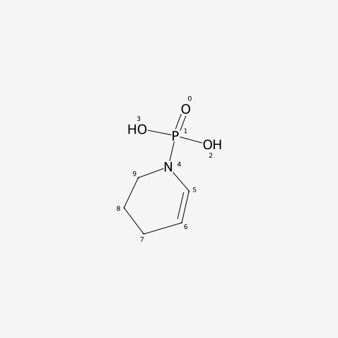 O=P(O)(O)N1C=CCCC1